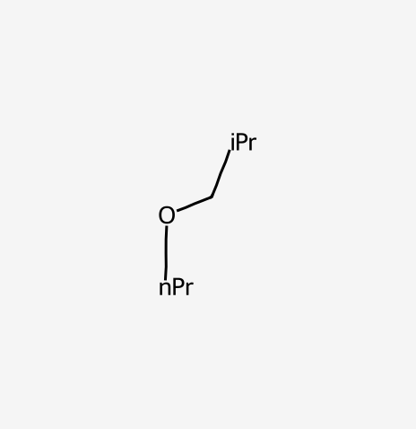 CCCOCC(C)C